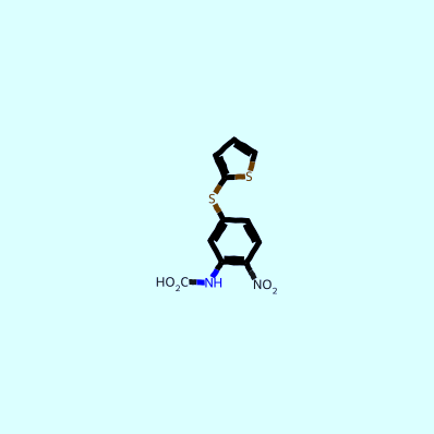 O=C(O)Nc1cc(Sc2cccs2)ccc1[N+](=O)[O-]